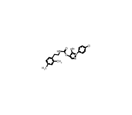 CCCc1c(OC(=O)NCCc2ccc(C)cc2C)cnn1-c1ccc(Cl)cc1